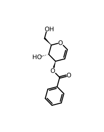 O=C(O[C@@H]1C=CO[C@H](CO)[C@H]1O)c1ccccc1